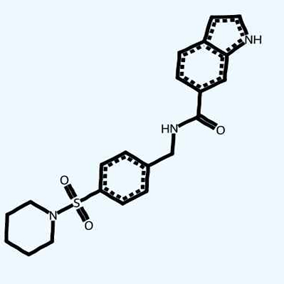 O=C(NCc1ccc(S(=O)(=O)N2CCCCC2)cc1)c1ccc2cc[nH]c2c1